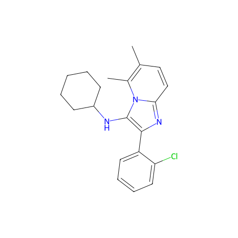 Cc1ccc2nc(-c3ccccc3Cl)c(NC3CCCCC3)n2c1C